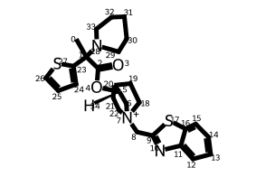 CC(C(=O)O[C@H]1C[N+]2(Cc3nc4ccccc4s3)CCC1CC2)(c1cccs1)N1CCCCC1